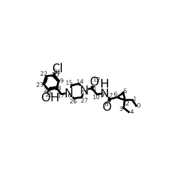 CCC1(CC)CC1C(=O)NCC(=O)N1CCN(Cc2cc(Cl)ccc2O)CC1